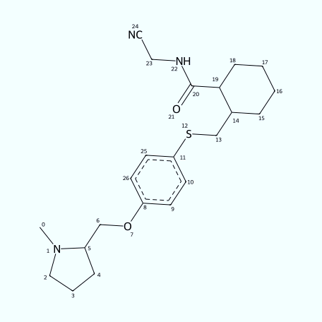 CN1CCCC1COc1ccc(SCC2CCCCC2C(=O)NCC#N)cc1